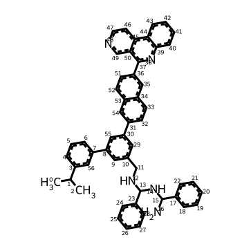 CC(C)c1cccc(-c2cc(CNC(NC(N)c3ccccc3)c3ccccc3)cc(-c3ccc4cc(-c5nc6ccccc6c6ccncc56)ccc4c3)c2)c1